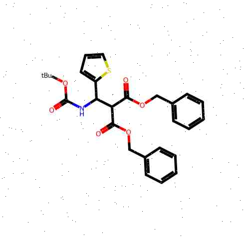 CC(C)(C)OC(=O)NC(c1cccs1)C(C(=O)OCc1ccccc1)C(=O)OCc1ccccc1